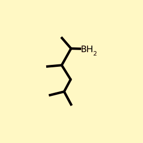 BC(C)C(C)CC(C)C